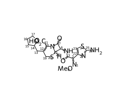 CO/N=C(\C(=O)N[C@@H]1C(=O)N2C(C(=O)O)=C(CC3CCCO3)CS[C@H]12)c1csc(N)n1